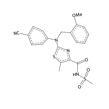 COc1ccccc1CN(c1ccc(C#N)cc1)c1nc(C(=O)NS(C)(=O)=O)c(C)s1